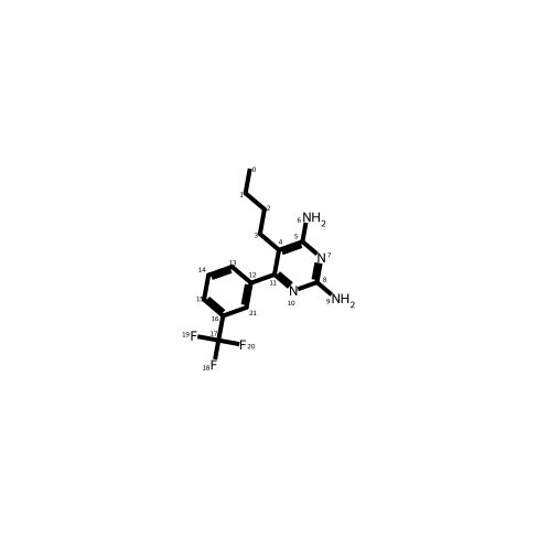 CCCCc1c(N)nc(N)nc1-c1cccc(C(F)(F)F)c1